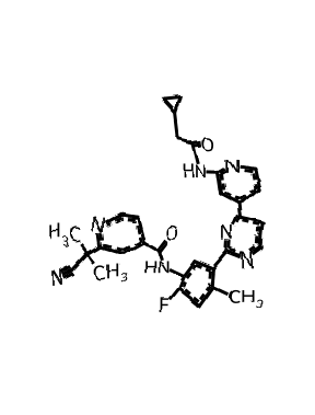 Cc1cc(F)c(NC(=O)c2ccnc(C(C)(C)C#N)c2)cc1-c1nccc(-c2ccnc(NC(=O)CC3CC3)c2)n1